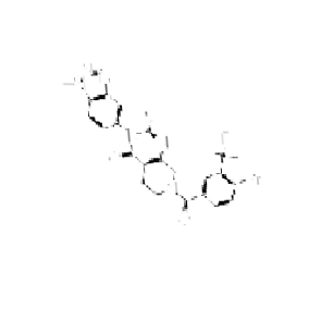 C[C@@H]1Cc2c(nc(Cl)n(-c3ccc4c(c3)nnn4C)c2=O)CN1C(=O)c1ccc(Br)c(C(F)(F)F)c1